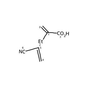 C=C(CC)C(=O)O.C=CC#N